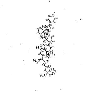 CC(C)(C=O)CC(=O)OC1CCC2(C)C(CCC3(C)C4CCC5(C(=O)NC6(c7ncc(-c8ccccc8)[nH]7)CCCC6)CCCC5C4CCC23)C1N